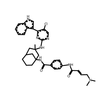 CN(C)C/C=C/C(=O)Nc1ccc(C(=O)NC23CCCC(CC(C)(Nc4ncc(Cl)c(-c5c[nH]c6ccccc56)n4)C2)C3)cc1